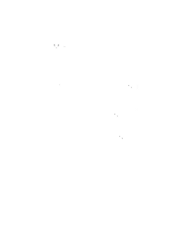 COc1ccc(Nc2ccn(-c3ccccc3)n2)cc1C(C)=O